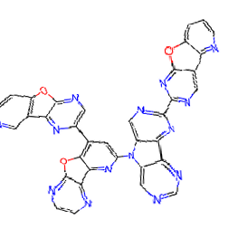 c1cnc2c(c1)oc1nc(-c3ncc4c(n3)c3ncncc3n4-c3cc(-c4cnc5oc6ccncc6c5n4)c4oc5nccnc5c4n3)ncc12